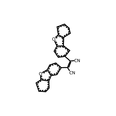 N#C/C(=C(\C#N)c1ccc2oc3ccccc3c2c1)c1ccc2oc3ccccc3c2c1